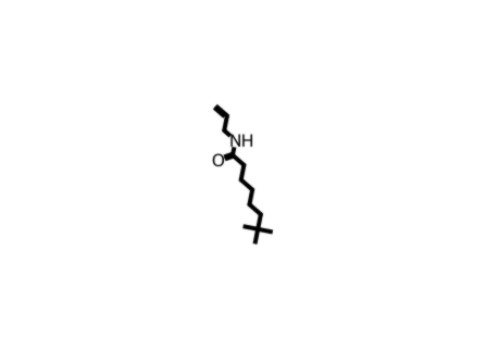 C=CCNC(=O)CCCCCC(C)(C)C